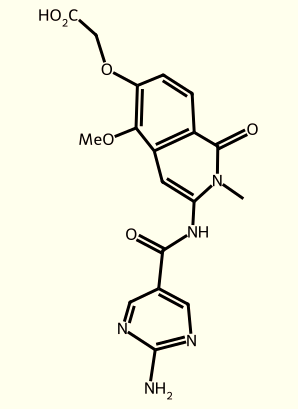 COc1c(OCC(=O)O)ccc2c(=O)n(C)c(NC(=O)c3cnc(N)nc3)cc12